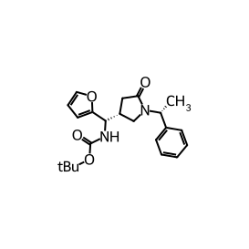 C[C@H](c1ccccc1)N1C[C@H](C(NC(=O)OC(C)(C)C)c2ccco2)CC1=O